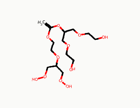 C=C(OCCOC(COO)COO)OC(COCCO)COCCO